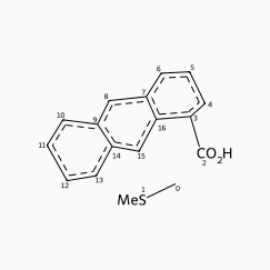 CSC.O=C(O)c1cccc2cc3ccccc3cc12